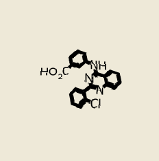 O=C(O)c1cccc(Nc2nc(-c3ccccc3Cl)nc3ccccc23)c1